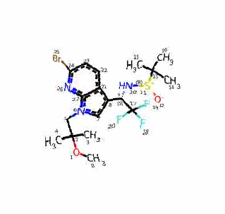 COC(C)(C)Cn1cc([C@H](N[S@@+]([O-])C(C)(C)C)C(F)(F)F)c2ccc(Br)nc21